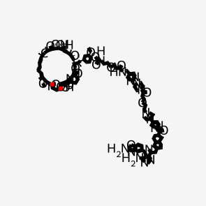 CO[C@H]1C[C@@H]2CC[C@@H](C)[C@@](O)(O2)C(=O)C(=O)N2CCCC[C@H]2C(=O)O[C@H]([C@H](C)C[C@@H]2CC[C@@H](OC(=O)NCCOCCC(=O)NCc3cnc(N4CCN(C(=O)CCOCCN5CCN(c6cnc(C(=O)C7CCc8cc(CC9N=C(c%10ccc%11oc(N)nc%11c%10)c%10c(N)ncnc%109)ccc8C7)nc6)CC5)CC4)nc3)[C@H](OC)C2)C[C@@H](OC)[C@H](C)/C=C(\C)[C@@H](O)[C@@H](O)C(=O)[C@H](C)C[C@H](C)/C=C/C=C/C=C/1C